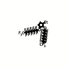 [CH2]CC1C[CH]C(OC(F)(F)C(F)(F)C(F)(F)C(F)(F)C(F)(F)C(F)(F)F)C1OC(F)(F)C(F)(F)C(F)(F)C(F)(F)C(F)(F)C(F)(F)F